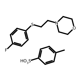 Cc1ccc(S(=O)(=O)O)cc1.Fc1ccc(SCCN2CCOCC2)cc1